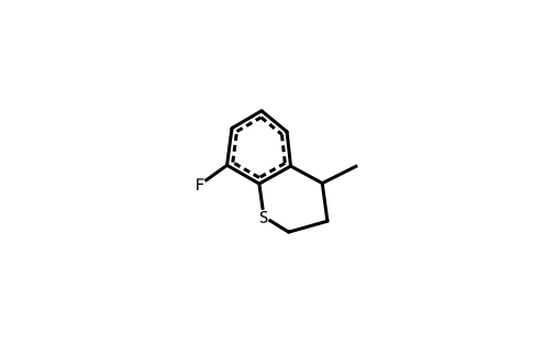 CC1CCSc2c(F)cccc21